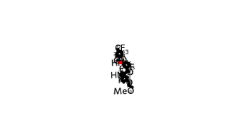 COCCOc1cnc2[nH]cc(C(=O)c3c(F)ccc(NS(=O)(=O)c4ccc(C(F)(F)F)cc4)c3F)c2c1